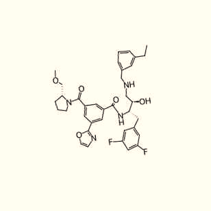 CCc1cccc(CNC[C@@H](O)[C@H](Cc2cc(F)cc(F)c2)NC(=O)c2cc(C(=O)N3CCC[C@@H]3COC)cc(-c3ncco3)c2)c1